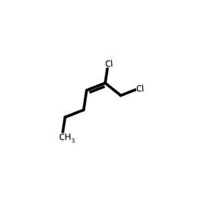 CCC/C=C(/Cl)CCl